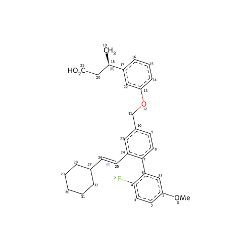 COc1ccc(F)c(-c2ccc(COc3cccc([C@H](C)CC(=O)O)c3)cc2/C=C/C2CCCCC2)c1